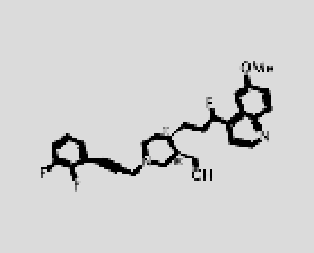 COc1ccc2nccc(C(F)CC[C@@H]3CCN(CC#Cc4cccc(F)c4F)C[C@@H]3CO)c2c1